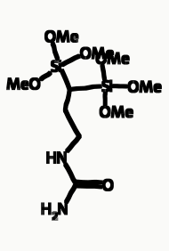 CO[Si](OC)(OC)C(CCNC(N)=O)[Si](OC)(OC)OC